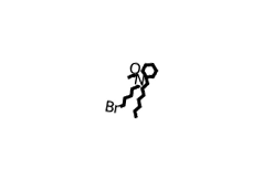 CCCCCCCC1(N(CCCCCBr)C(C)=O)CCCCC1